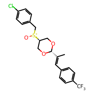 C/C(=C\c1ccc(C(F)(F)F)cc1)[C@H]1OC[C@H]([S+]([O-])Cc2ccc(Cl)cc2)CO1